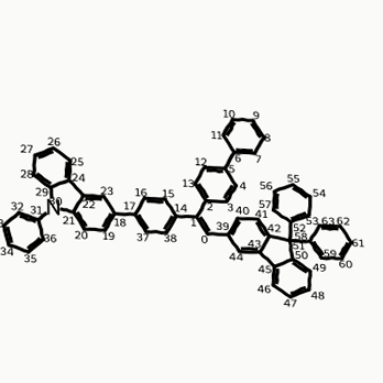 C(=C(/c1ccc(-c2ccccc2)cc1)c1ccc(-c2ccc3c(c2)c2ccccc2n3-c2ccccc2)cc1)/c1ccc2c(c1)-c1ccccc1C2(c1ccccc1)c1ccccc1